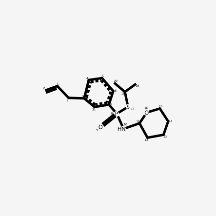 C=CCc1cccc(P(=O)(NC2CCCCO2)SC(C)C)c1